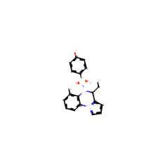 CCC1c2cccn2-c2cccc(C)c2N1S(=O)(=O)c1ccc(O)cc1